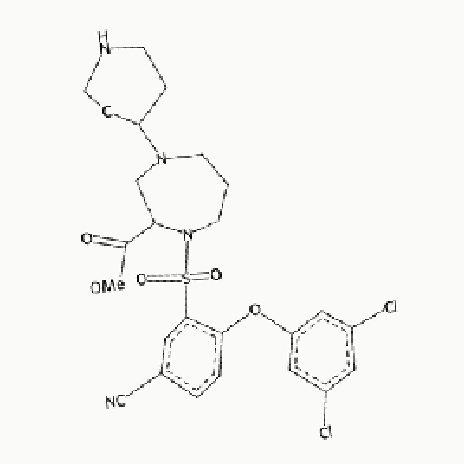 COC(=O)C1CN(C2CCNCC2)CCCN1S(=O)(=O)c1cc(C#N)ccc1Oc1cc(Cl)cc(Cl)c1